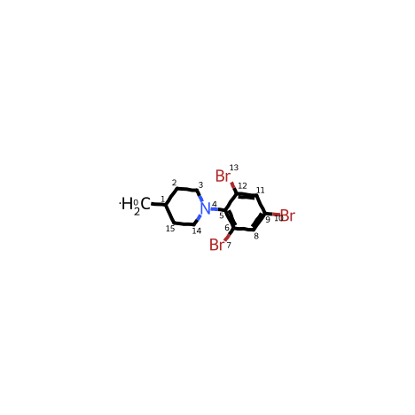 [CH2]C1CCN(c2c(Br)cc(Br)cc2Br)CC1